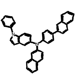 c1ccc(-n2ccc3cc(N(c4ccc(-c5ccc6ccccc6c5)cc4)c4ccc5ccccc5c4)ccc32)cc1